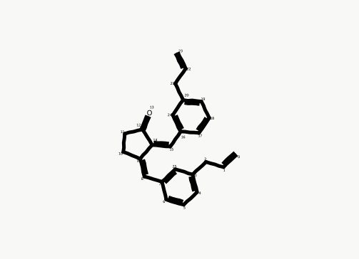 C=CCc1cccc(C=C2CCC(=O)C2=Cc2cccc(CC=C)c2)c1